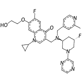 Cc1cc(CN(Cc2cn(C3CC3)c3cc(OCCO)c(F)cc3c2=O)[C@H]2C[C@H](F)CN(c3cnccn3)C2)ccn1